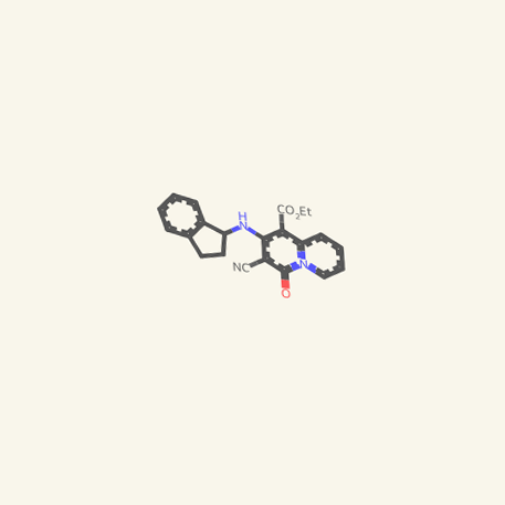 CCOC(=O)c1c(NC2CCc3ccccc32)c(C#N)c(=O)n2ccccc12